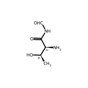 C[C@@H](O)[C@H](N)C(=O)NC=O